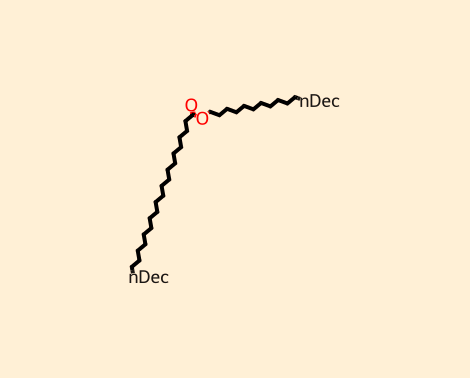 CCCCCCCCCCCCCCCCCCCCCCCCCCCCCC(=O)OCCCCCCCCCCCCCCCCCCCCC